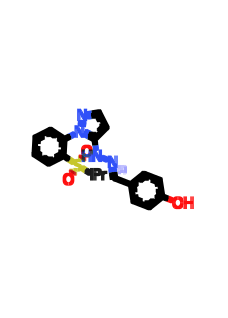 CC(C)S(=O)(=O)c1ccccc1-n1nccc1N/N=C/c1ccc(O)cc1